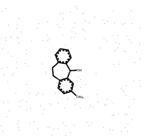 COc1ccc2c(c1)C(O)c1ccccc1CC2